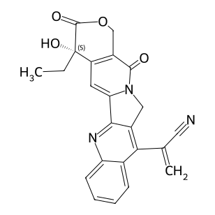 C=C(C#N)c1c2c(nc3ccccc13)-c1cc3c(c(=O)n1C2)COC(=O)[C@]3(O)CC